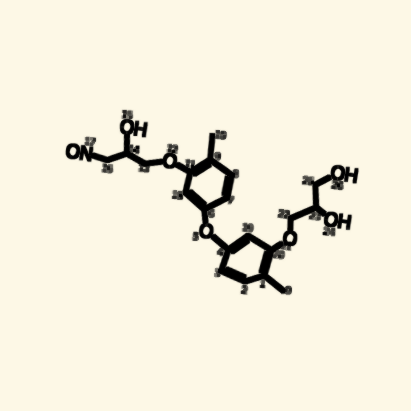 Cc1ccc(Oc2ccc(C)c(OCC(O)CN=O)c2)cc1OCC(O)CO